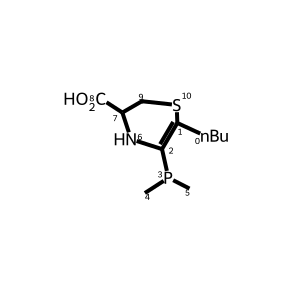 CCCCC1=C(P(C)C)NC(C(=O)O)CS1